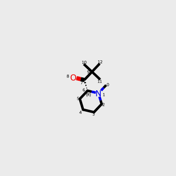 CN1CCCC[C@@H]1C(=O)C(C)(C)C